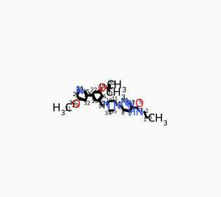 CCCNC(=O)c1ccc(N2CCN(Cc3cc(OC(C)C)cc(-c4cncc(OCC)c4)c3)CC2)nn1